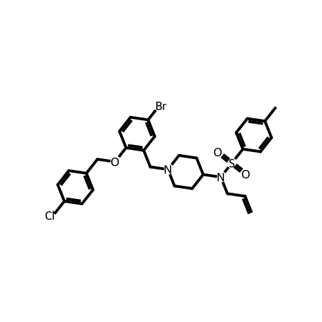 C=CCN(C1CCN(Cc2cc(Br)ccc2OCc2ccc(Cl)cc2)CC1)S(=O)(=O)c1ccc(C)cc1